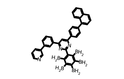 Bc1c(B)c(B)c(-c2nc(-c3ccc(-c4cccc5ccccc45)cc3)cc(-c3cccc(-c4cccnc4)c3)n2)c(B)c1B